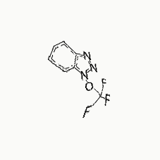 FC(F)(F)On1nnc2ccccc21